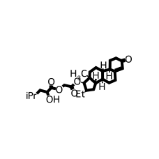 CC[C@H]1C[C@H]2[C@@H]3CCC4=CC(=O)CC[C@@H]4[C@H]3CC[C@]2(C)[C@H]1OC(=O)COC(=O)C(O)CC(C)C